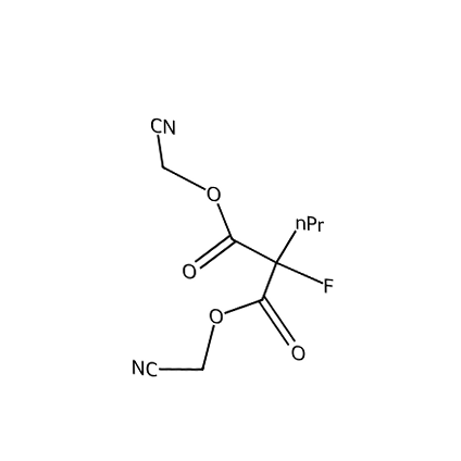 CCCC(F)(C(=O)OCC#N)C(=O)OCC#N